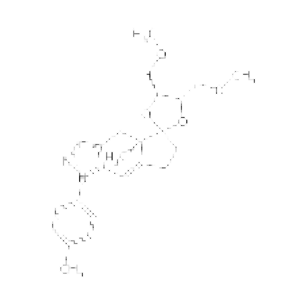 COC[C@@H]1OC2(CCC3=Cc4c(cnn4-c4ccc(C)cc4)C[C@@]32C)O[C@H]1COC